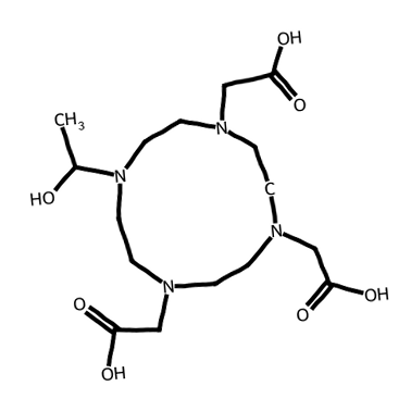 CC(O)N1CCN(CC(=O)O)CCN(CC(=O)O)CCN(CC(=O)O)CC1